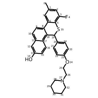 Cc1cc(F)c2c(c1)-c1ccc3cc(O)ccc3c1C(c1ccc(OCCN3CCCCC3)cc1)S2